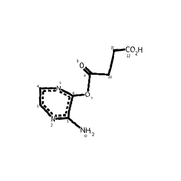 Nc1nccnc1OC(=O)CCC(=O)O